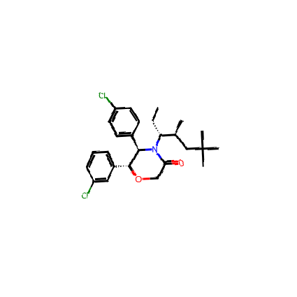 CC[C@H]([C@@H](C)CC(C)(C)C)N1C(=O)CO[C@H](c2cccc(Cl)c2)[C@H]1c1ccc(Cl)cc1